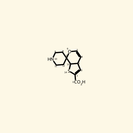 O=C(O)C1=CC2C=COC3(CCNCC3)C2S1